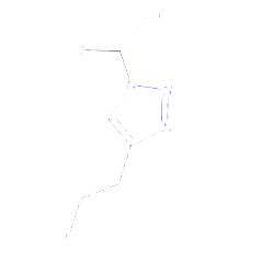 CC(I)n1cc(CCF)nn1